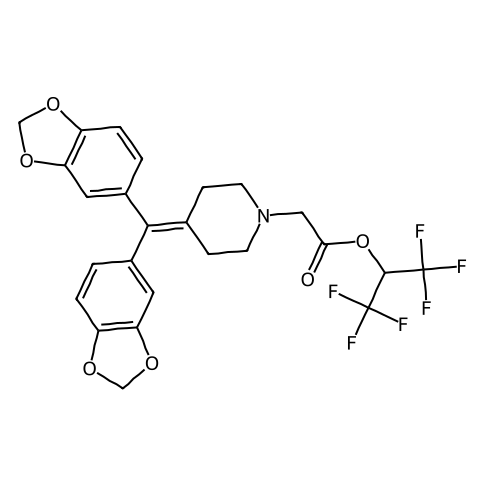 O=C(CN1CCC(=C(c2ccc3c(c2)OCO3)c2ccc3c(c2)OCO3)CC1)OC(C(F)(F)F)C(F)(F)F